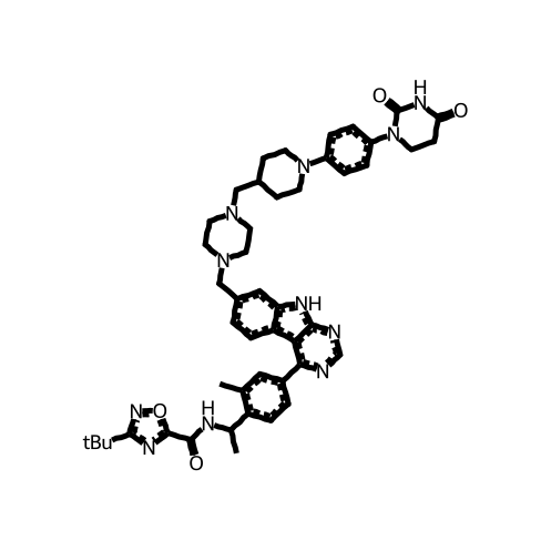 Cc1cc(-c2ncnc3[nH]c4cc(CN5CCN(CC6CCN(c7ccc(N8CCC(=O)NC8=O)cc7)CC6)CC5)ccc4c23)ccc1C(C)NC(=O)c1nc(C(C)(C)C)no1